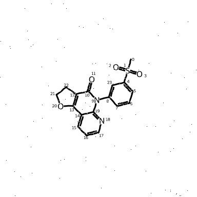 CS(=O)(=O)c1cccc(-n2c(=O)c3c(c4cccnc42)OCC3)c1